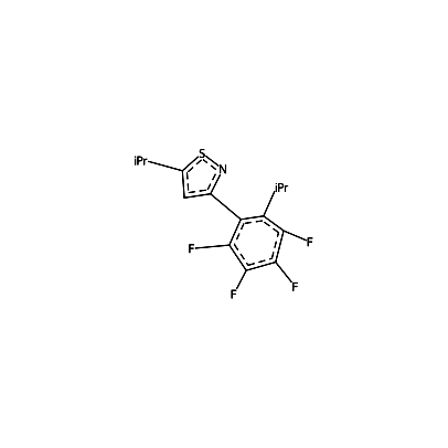 CC(C)c1cc(-c2c(F)c(F)c(F)c(F)c2C(C)C)ns1